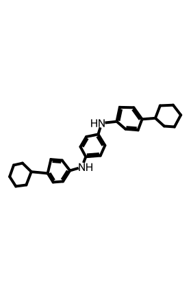 c1cc(Nc2ccc(C3CCCCC3)cc2)ccc1Nc1ccc(C2CCCCC2)cc1